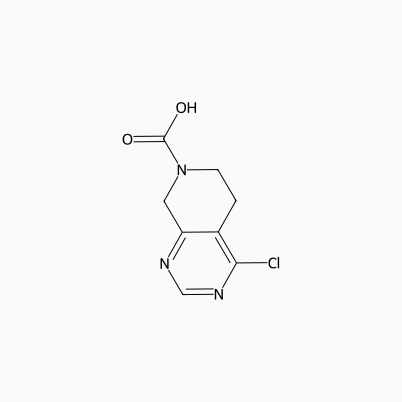 O=C(O)N1CCc2c(Cl)ncnc2C1